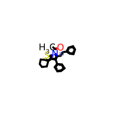 CC(=O)n1c(/C=C/c2ccccc2)c(-c2ccccc2)c2c3c(sc21)CCCC3